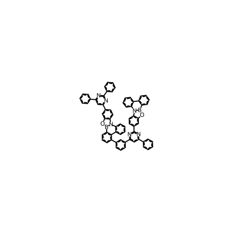 c1ccc(-c2cc(-c3ccc4c(c3)OB3c5cccc(-c6cccc(-c7cc(-c8ccccc8)nc(-c8ccc9c(c8)OB8c%10ccccc%10-c%10ccccc%10N89)n7)c6)c5-c5ccccc5N34)nc(-c3ccccc3)n2)cc1